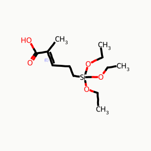 CCO[Si](CC/C=C(\C)C(=O)O)(OCC)OCC